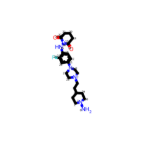 NN1CCC(CCN2CCN(c3ccc(NN4C(=O)CCCC4=O)c(F)c3)CC2)CC1